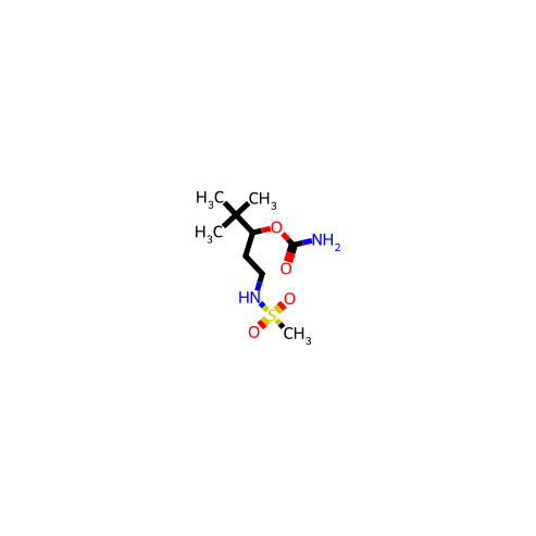 CC(C)(C)C(CCNS(C)(=O)=O)OC(N)=O